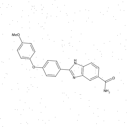 COc1ccc(Oc2ccc(-c3nc4cc(C(N)=O)ccc4[nH]3)cc2)cc1